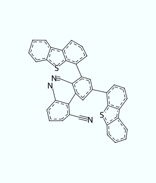 N#Cc1cccc(C#N)c1-c1cc(-c2cccc3c2sc2ccccc23)cc(-c2cccc3c2sc2ccccc23)c1C#N